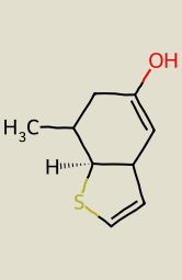 CC1CC(O)=CC2C=CS[C@H]21